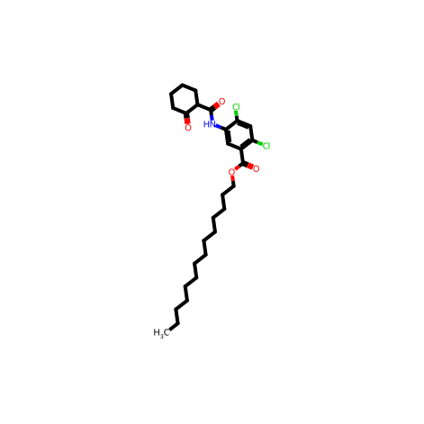 CCCCCCCCCCCCCCOC(=O)c1cc(NC(=O)C2CCCCC2=O)c(Cl)cc1Cl